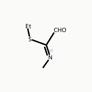 CCS/C(C=O)=N\C